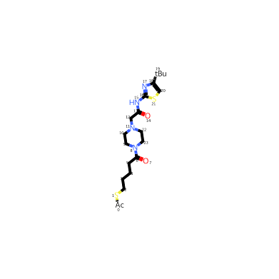 CC(=O)SCCCCC(=O)N1CCN(CC(=O)Nc2nc(C(C)(C)C)cs2)CC1